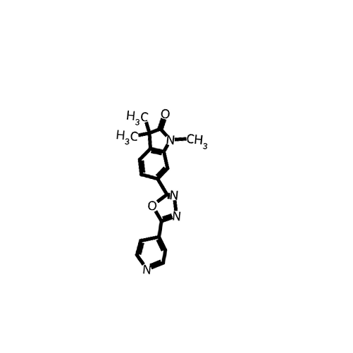 CN1C(=O)C(C)(C)c2ccc(-c3nnc(-c4ccncc4)o3)cc21